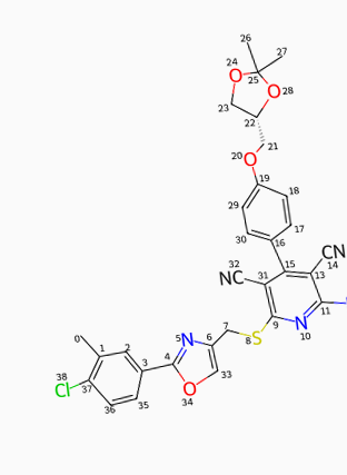 Cc1cc(-c2nc(CSc3nc(N)c(C#N)c(-c4ccc(OC[C@@H]5COC(C)(C)O5)cc4)c3C#N)co2)ccc1Cl